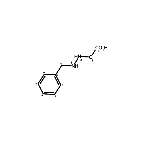 O=C(O)ONNCc1ccccc1